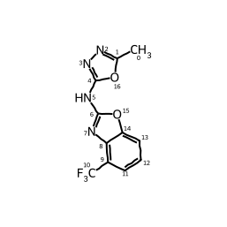 Cc1nnc(Nc2nc3c(C(F)(F)F)cccc3o2)o1